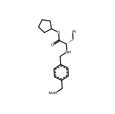 CNCc1ccc(CN[C@@H](CC(C)C)C(=O)OC2CCCC2)cc1